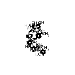 Cc1cccc(C)c1NC(=O)N(C)c1cc(Nc2ccc(N3CCN(CC(=O)N[C@H](C(=O)N4C[C@H](O)C[C@H]4C(=O)N[C@@H](C)c4ccc(-c5scnc5C)cc4)C(C)(C)C)CC3)cc2)ncn1